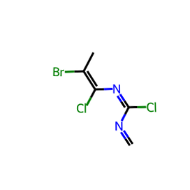 C=N/C(Cl)=N\C(Cl)=C(/C)Br